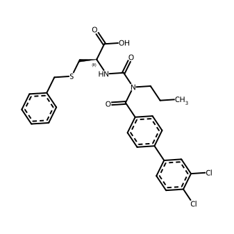 CCCN(C(=O)N[C@@H](CSCc1ccccc1)C(=O)O)C(=O)c1ccc(-c2ccc(Cl)c(Cl)c2)cc1